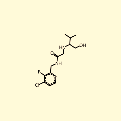 CC(C)C(CO)NCC(=O)NCc1cccc(Cl)c1F